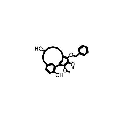 COc1c2cc(c(OCc3ccccc3)c1OC)CCCCC(O)CCc1ccc(O)c-2c1